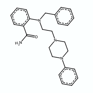 NC(=O)c1ccccc1N(CCN1CCN(c2ccccc2)CC1)Cc1ccccc1